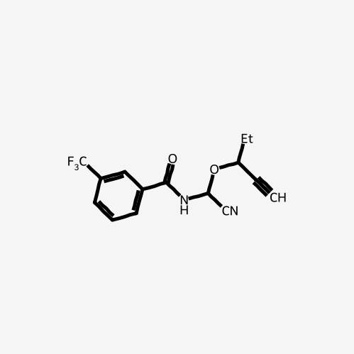 C#CC(CC)OC(C#N)NC(=O)c1cccc(C(F)(F)F)c1